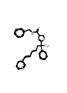 O=C(NCc1ccccc1)C1COC(C(CCCC=Cc2cccnc2)(C(=O)O)c2ccccc2)=N1